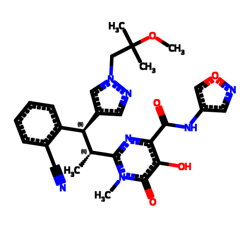 COC(C)(C)Cn1cc([C@H](c2ccccc2C#N)[C@@H](C)c2nc(C(=O)Nc3cnoc3)c(O)c(=O)n2C)cn1